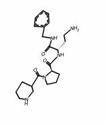 NCC[C@H](NC(=O)[C@H]1CCCN1C(=O)C1CCCNC1)C(=O)NCc1ccccc1